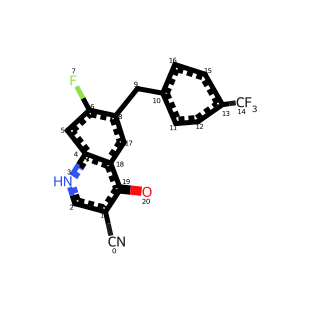 N#Cc1c[nH]c2cc(F)c(Cc3ccc(C(F)(F)F)cc3)cc2c1=O